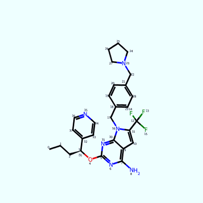 CCC[C@H](Oc1nc(N)c2cc(C(F)(F)F)n(Cc3ccc(CN4CCCC4)cc3)c2n1)c1ccncc1